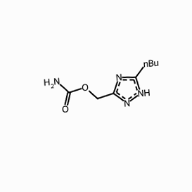 CCCCc1nc(COC(N)=O)n[nH]1